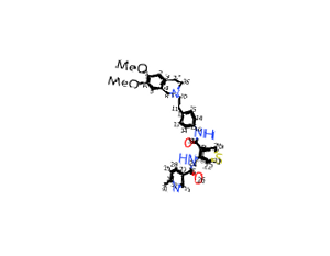 COc1cc2c(cc1OC)CN(CCc1ccc(NC(=O)c3cscc3NC(=O)c3ccc(C)nc3)cc1)CC2